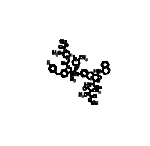 CC1COCCN1C[C@H]1CN(C(=O)OC(C)(C)C)[C@H](C)CN1CC(=O)N1CC(C)(C(=O)Nc2ccc3c(c2)CN(C(=O)C(NC(=O)C(C)N(C)C(=O)OC(C)(C)C)C(C)(C)C)C(C(=O)N[C@@H]2CCCc4ccccc42)C3)c2ccc(Cc3ccc(F)cc3)cc21